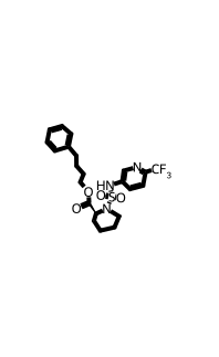 O=C(OCCCCc1ccccc1)[C@@H]1CCCCN1S(=O)(=O)Nc1ccc(C(F)(F)F)nc1